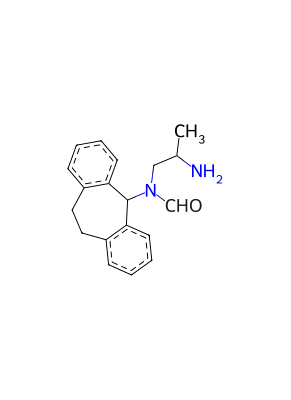 CC(N)CN(C=O)C1c2ccccc2CCc2ccccc21